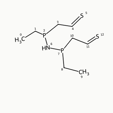 CCP(CC=S)NP(CC)CC=S